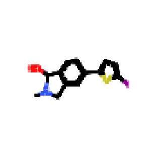 CN1Cc2cc(-c3ccc(I)s3)ccc2C1O